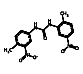 Cc1ccc([N+](=O)[O-])cc1NC(=O)Nc1ccc(C)c([N+](=O)[O-])c1